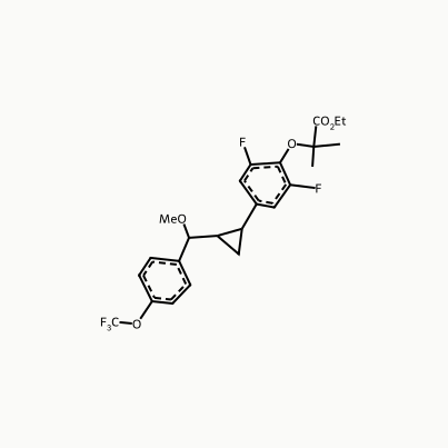 CCOC(=O)C(C)(C)Oc1c(F)cc(C2CC2C(OC)c2ccc(OC(F)(F)F)cc2)cc1F